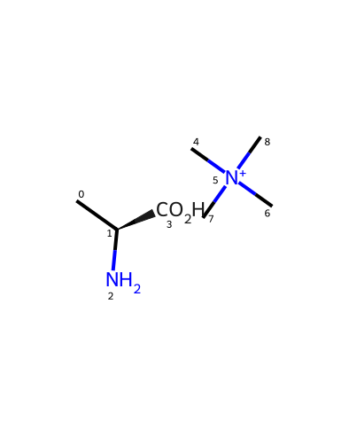 C[C@H](N)C(=O)O.C[N+](C)(C)C